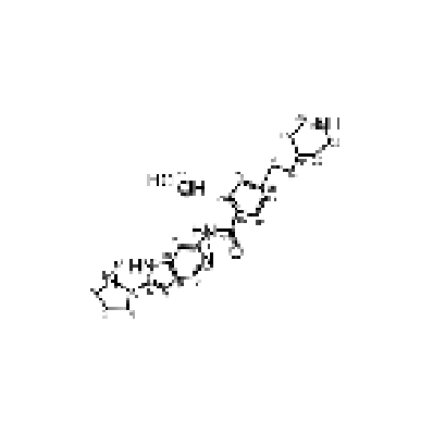 CN1CCC[C@@H]1c1cc2cnc(NC(=O)c3ccc(CCC4CCNCC4)cc3)cc2[nH]1.Cl.Cl